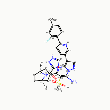 COc1ccc(-c2ccc(-c3cnn4c(N)c(S(C)(=O)=O)c([C@H]5C[C@H]6CC[C@@H](C5)N6C(=O)c5nnc[nH]5)nc34)cn2)c(F)c1